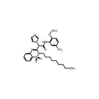 CCCCCCCCCCCCCCCCCCN1C(C(C(=O)Nc2cc(C)ccc2OCCCCCCCC)n2ccnc2)=Nc2ccccc2S1(=O)=O